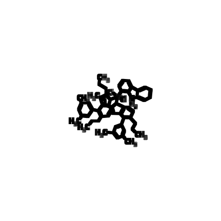 CCCC1=Cc2c(ccc(CCC)c2-c2cc(C)cc(C)c2)[CH]1[Zr]([Cl])([Cl])([c]1cccc2c1[SiH2]c1ccccc1-2)[CH]1C(CCC)=Cc2c1ccc(CCC)c2-c1cc(C)cc(C)c1